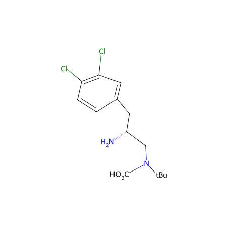 CC(C)(C)N(C[C@H](N)Cc1ccc(Cl)c(Cl)c1)C(=O)O